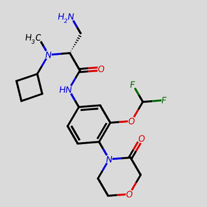 CN(C1CCC1)[C@H](CN)C(=O)Nc1ccc(N2CCOCC2=O)c(OC(F)F)c1